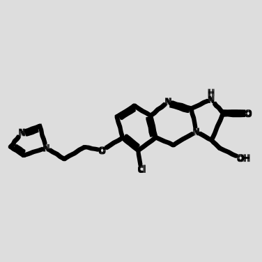 O=C1NC2=Nc3ccc(OCCn4ccnc4)c(Cl)c3CN2C1CO